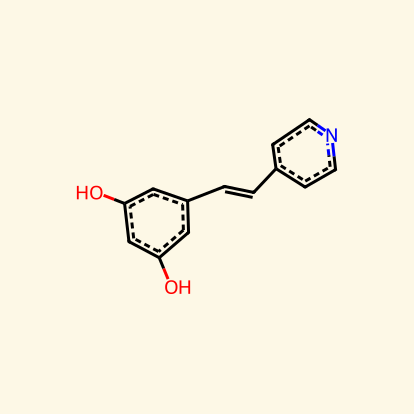 Oc1cc(O)cc(C=Cc2ccncc2)c1